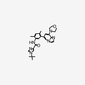 Cc1cc(C)c(-c2cc(N3CCOCC3)c3nccn3c2)cc1NC(=O)c1cn(C(C)(C)C)cn1